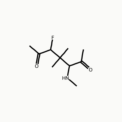 CNC(C(C)=O)C(C)(C)C(F)C(C)=O